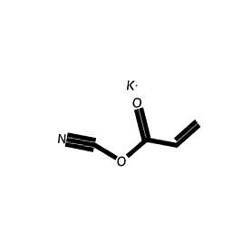 C=CC(=O)OC#N.[K]